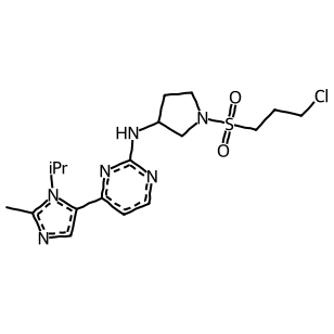 Cc1ncc(-c2ccnc(NC3CCN(S(=O)(=O)CCCCl)C3)n2)n1C(C)C